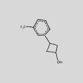 OC1CC(c2cccc(C(F)(F)F)c2)C1